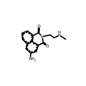 CNCCN1C(=O)c2cccc3cc(N)cc(c23)C1=O